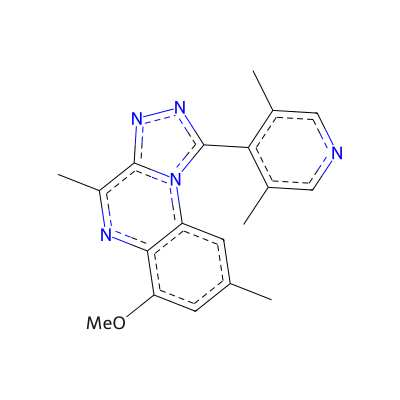 COc1cc(C)cc2c1nc(C)c1nnc(-c3c(C)cncc3C)n12